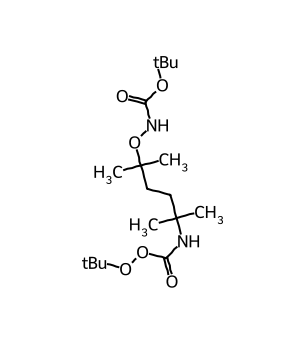 CC(C)(CCC(C)(C)ONC(=O)OC(C)(C)C)NC(=O)OOC(C)(C)C